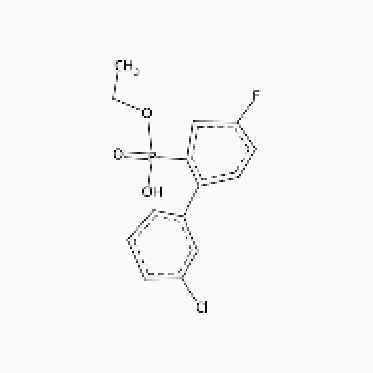 CCOP(=O)(O)c1cc(F)ccc1-c1cccc(Cl)c1